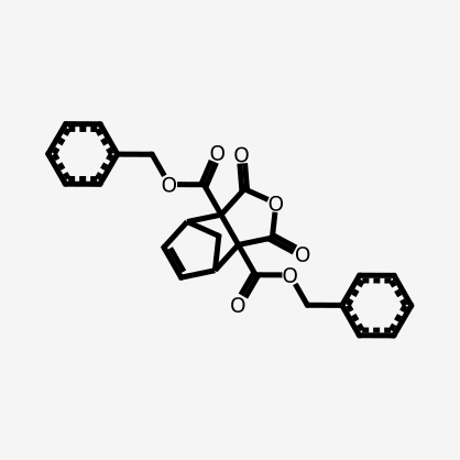 O=C(OCc1ccccc1)C12C(=O)OC(=O)C1(C(=O)OCc1ccccc1)C1C=CC2C1